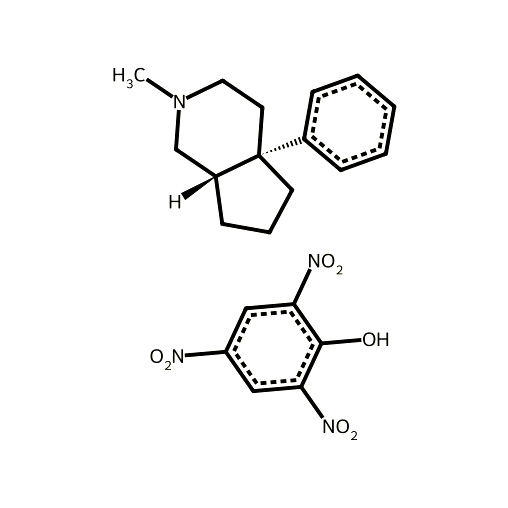 CN1CC[C@@]2(c3ccccc3)CCC[C@@H]2C1.O=[N+]([O-])c1cc([N+](=O)[O-])c(O)c([N+](=O)[O-])c1